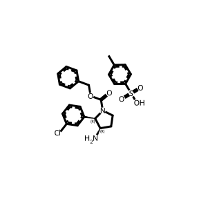 Cc1ccc(S(=O)(=O)O)cc1.N[C@@H]1CCN(C(=O)OCc2ccccc2)[C@@H]1c1cccc(Cl)c1